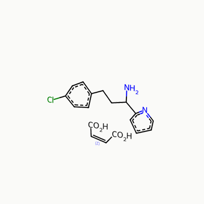 NC(CCc1ccc(Cl)cc1)c1ccccn1.O=C(O)/C=C\C(=O)O